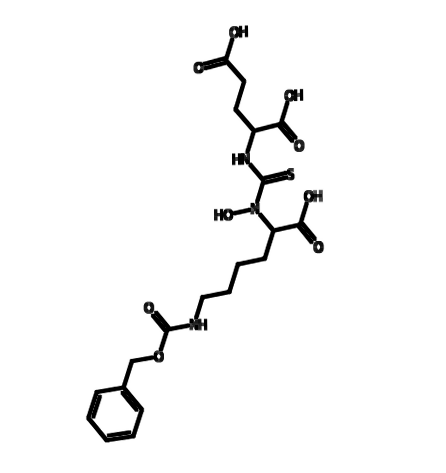 O=C(O)CCC(NC(=S)N(O)C(CCCCNC(=O)OCc1ccccc1)C(=O)O)C(=O)O